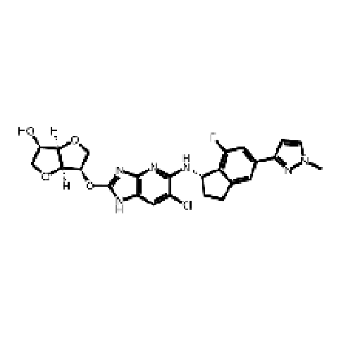 Cn1ccc(-c2cc(F)c3c(c2)CC[C@@H]3Nc2nc3nc(O[C@@H]4CO[C@H]5[C@@H]4OC[C@H]5O)[nH]c3cc2Cl)n1